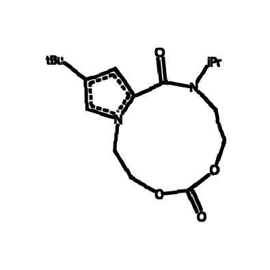 CC(C)N1CCOC(=O)OCCn2cc(C(C)(C)C)cc2C1=O